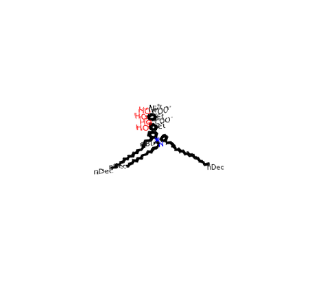 CCCCCCCCCCCCCCCCCCCCCC=CC(=Nc1ccccc1CCC#CCCCCCCCCCCCCCCCCCCCCCCCC)C(CCCC)=Nc1ccccc1CCC#CCCCCCCCCCCCCCCCCCCCCCCCC.CCc1ccc(O)c(O)c1C(=O)[O-].CCc1ccc(O)c(O)c1C(=O)[O-].[Ni+2]